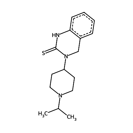 CC(C)N1CCC(N2Cc3ccccc3NC2=S)CC1